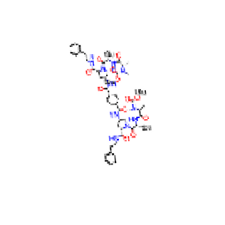 C[C@@H](C(=O)N[C@H](C(=O)N1C[C@@H](NC(=O)c2ccc(C(=O)N[C@H]3C[C@@H](C(=O)NCCc4ccccc4)N(C(=O)[C@@H](NC(=O)[C@H](C)N(C)C(=O)OC(C)(C)C)C(C)(C)C)C3)cc2)C[C@H]1C(=O)NCCc1ccccc1)C(C)(C)C)N(C)C(=O)OC(C)(C)C